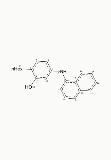 CCCCCCc1ccc(Nc2cccc3ccccc23)cc1O